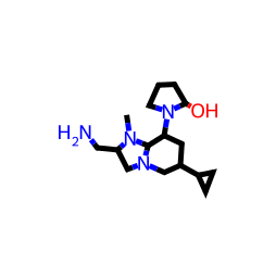 CN1C(CN)CN2CC(C3CC3)CC(N3CCCC3O)C21